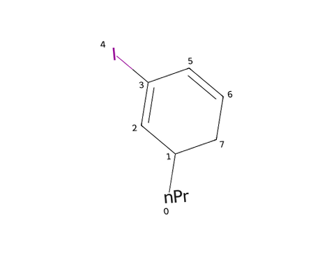 CCCC1C=C(I)C=CC1